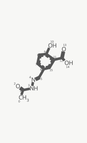 CC(=O)N/N=C/c1ccc(O)c(C(=O)O)c1